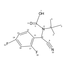 CC(C)(C)N(C(=O)O)C(C#N)c1ccc(F)cc1F